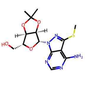 CSc1nn([C@@H]2O[C@H](CO)[C@H]3OC(C)(C)O[C@H]32)c2ncnc(N)c12